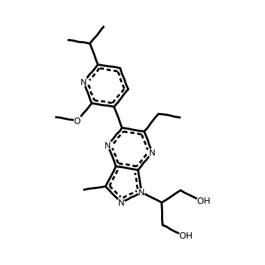 CCc1nc2c(nc1-c1ccc(C(C)C)nc1OC)c(C)nn2C(CO)CO